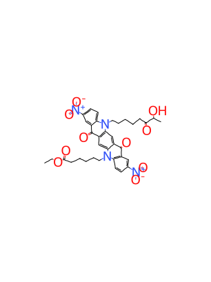 CCOC(=O)CCCCCn1c2ccc([N+](=O)[O-])cc2c(=O)c2cc3c(cc21)c(=O)c1cc([N+](=O)[O-])ccc1n3CCCCCC(=O)C(C)O